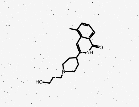 Cc1cccc2c(=O)[nH]c(C3CCN(CCCO)CC3)cc12